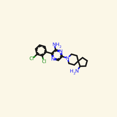 Nc1nc(N2CCC3(CCCC3N)CC2)cnc1-c1cccc(Cl)c1Cl